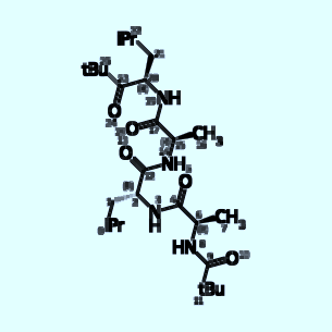 CC(C)C[C@@H](NC(=O)[C@@H](C)NC(=O)C(C)(C)C)C(=O)N[C@H](C)C(=O)N[C@H](CC(C)C)C(=O)C(C)(C)C